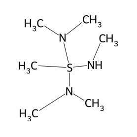 CNS(C)(N(C)C)N(C)C